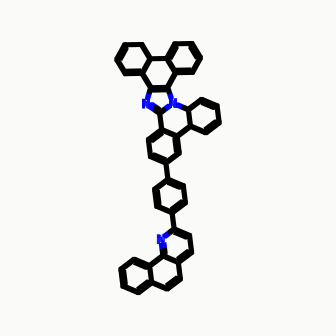 C1=CCC2C(=C1)c1nc3n(c1-c1ccccc12)C1C=CC=CC1c1cc(-c2ccc(-c4ccc5ccc6ccccc6c5n4)cc2)ccc1-3